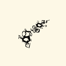 O=S(=O)(OC[C@H]1COc2c(F)cc(Cl)cc2O1)c1ccc(Br)cc1